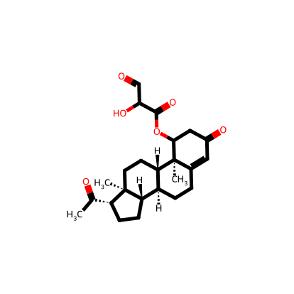 CC(=O)[C@H]1CC[C@H]2[C@@H]3CCC4=CC(=O)CC(OC(=O)C(O)C=O)[C@]4(C)[C@H]3CC[C@]12C